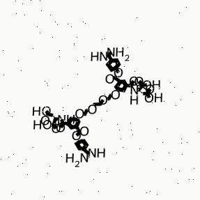 N=C(N)c1ccc(OC(=O)c2cc(OCCOCCOCCOc3cc(C(=O)N[C@@H](CC(=O)O)C(=O)O)cc(C(=O)Oc4ccc(C(=N)N)cc4)c3)cc(C(=O)N[C@@H](CC(=O)O)C(=O)O)c2)cc1